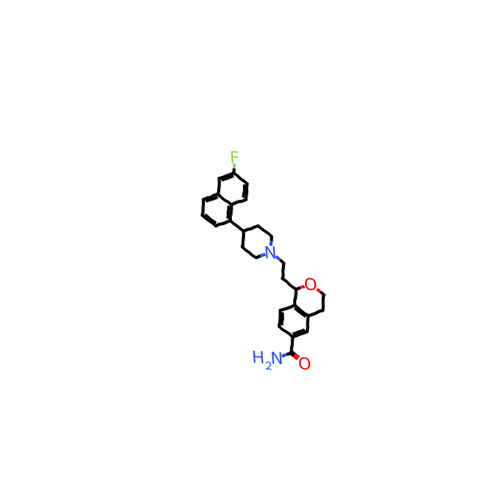 NC(=O)c1ccc2c(c1)CCOC2CCN1CCC(c2cccc3cc(F)ccc23)CC1